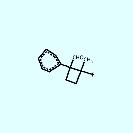 CC1(F)CCC1(C=O)c1ccccc1